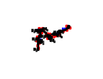 C=C1C[C@H]2CN(C(=O)OCc3ccc(CC(=O)[C@H](C)NC(=O)[C@@H](CC(=O)CCOCCOC)C(C)C)cc3)c3cc(OCCCCCOc4cc5c(cc4OC)C(=O)N4CC(=C)C[C@H]4[C@H](O)N5C(=O)OCc4ccc(CC(=O)[C@H](C)NC(=O)[C@@H](CC(=O)CCOCCNC(=O)CCN5C(=O)C=CC5=O)C(C)C)cc4)c(OC)cc3C(=O)N2C1